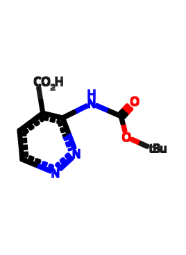 CC(C)(C)OC(=O)Nc1nnccc1C(=O)O